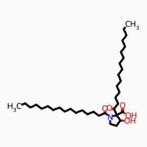 CCCCCCCCCCCCCCCC(=O)N1CCC(O)C1(C(=O)O)C(=O)CCCCCCCCCCCCCCC